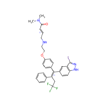 CN(C)C(=O)/C=C/CNCCOc1ccc(/C(=C(/CC(F)(F)F)c2ccccc2)c2ccc3[nH]nc(I)c3c2)cc1